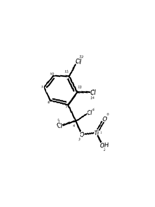 [O]=[Ti]([OH])[O]C(Cl)(Cl)c1cccc(Cl)c1Cl